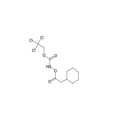 O=C(CC1CCCCC1)ONC(=O)OCC(Cl)(Cl)Cl